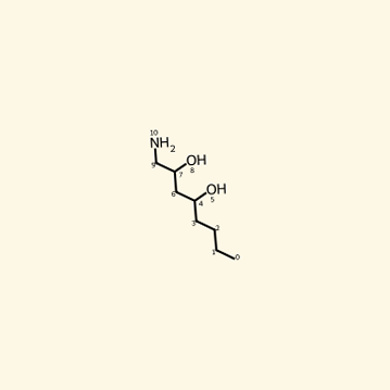 CCCCC(O)CC(O)CN